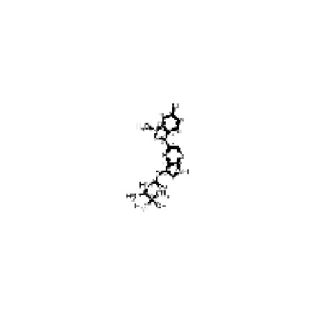 C[C@@H](NC(=O)Oc1c[nH]c2ncc(-c3nn(C)c4cc(Cl)ccc34)nc12)C(C)(C)O